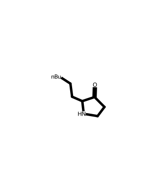 CCCCCCC1NCCC1=O